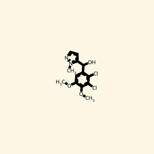 COc1cc(C(O)c2ccnn2C)c(Cl)c(Cl)c1OC